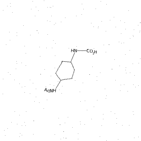 CC(=O)NC1CCC(NC(=O)O)CC1